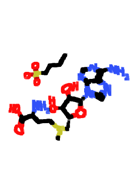 CCCCS(=O)(=O)[O-].C[S+](CC[C@H](N)C(=O)O)C[C@H]1O[C@@H](n2cnc3c(N)ncnc32)[C@H](O)[C@@H]1O